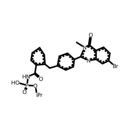 CC(C)OP(=O)(O)NC(=O)c1ccccc1Cc1ccc(-c2nc3cc(Br)ccc3c(=O)n2C)cc1